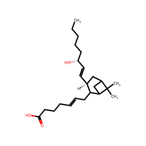 CCCCC[C@@H](O)C=C[C@H]1CC2CC(C1CC=CCCCC(=O)O)C2(C)C